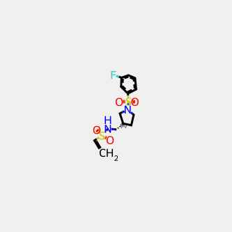 C=CS(=O)(=O)NC[C@H]1CCN(S(=O)(=O)c2cccc(F)c2)C1